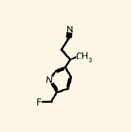 CC(CC#N)c1ccc(CF)nc1